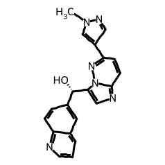 Cn1cc(-c2ccc3ncc([C@@H](O)c4ccc5ncccc5c4)n3n2)cn1